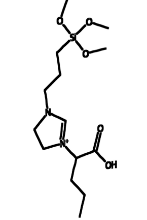 CCCC(C(=O)O)[N+]1=CN(CCC[Si](OC)(OC)OC)CC1